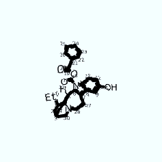 CCC1CC2C[C@H]3c4c(c5cc(O)ccc5n4C(=O)OC(=O)c4ccccc4)CCN(C2)C13